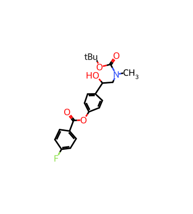 CN(CC(O)c1ccc(OC(=O)c2ccc(F)cc2)cc1)C(=O)OC(C)(C)C